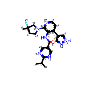 CC(C)c1ncc(C(=O)Nc2c(-c3cn[nH]c3)ccnc2N2CCC(C)(F)C2)cn1